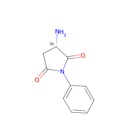 N[C@H]1CC(=O)N(c2ccccc2)C1=O